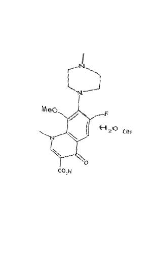 COc1c(N2CCN(C)CC2)c(F)cc2c(=O)c(C(=O)O)cn(C)c12.Cl.O